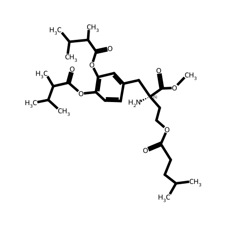 COC(=O)[C@@](N)(CCOC(=O)CCC(C)C)Cc1ccc(OC(=O)C(C)C(C)C)c(OC(=O)C(C)C(C)C)c1